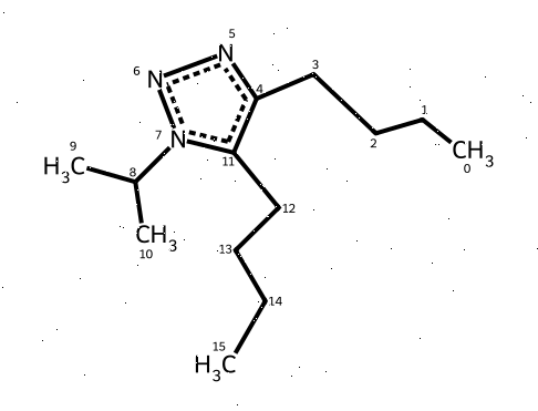 CCCCc1nnn(C(C)C)c1CCCC